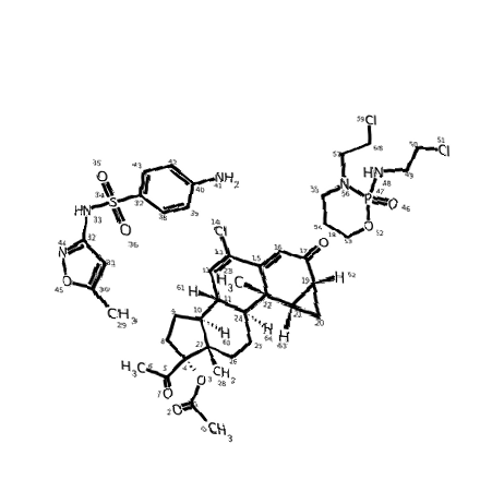 CC(=O)O[C@]1(C(C)=O)CC[C@H]2[C@@H]3C=C(Cl)C4=CC(=O)[C@@H]5C[C@@H]5[C@]4(C)[C@H]3CC[C@@]21C.Cc1cc(NS(=O)(=O)c2ccc(N)cc2)no1.O=P1(NCCCl)OCCCN1CCCl